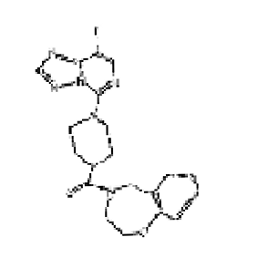 O=C(C1CCN(c2ncc(F)c3ncnn23)CC1)N1CCOc2ccncc2C1